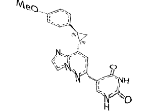 COc1ccc([C@H]2C[C@@H]2c2cc(-c3c[nH]c(=O)[nH]c3=O)nn3ccnc23)cc1